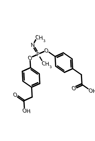 CN=P(C)(Oc1ccc(CC(=O)O)cc1)Oc1ccc(CC(=O)O)cc1